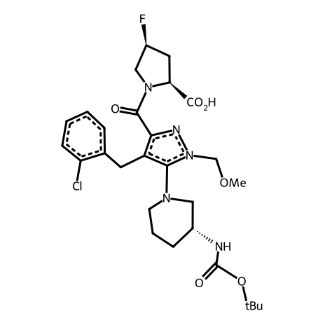 COCn1nc(C(=O)N2C[C@@H](F)C[C@H]2C(=O)O)c(Cc2ccccc2Cl)c1N1CCC[C@@H](NC(=O)OC(C)(C)C)C1